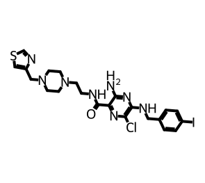 Nc1nc(NCc2ccc(I)cc2)c(Cl)nc1C(=O)NCCN1CCN(Cc2cscn2)CC1